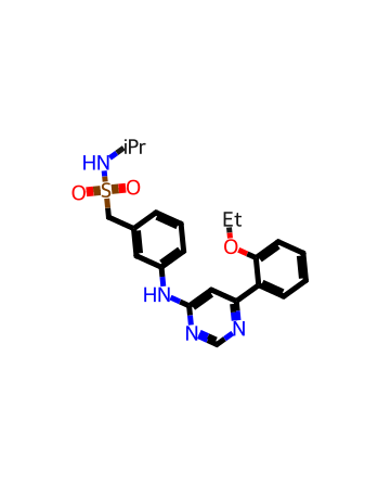 CCOc1ccccc1-c1cc(Nc2cccc(CS(=O)(=O)NC(C)C)c2)ncn1